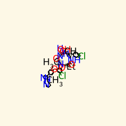 CC[C@@H]1CC(=O)N(Cc2ccc(Cl)cc2Oc2ccc(-c3cnc(CN4CCCC4)n3C)cc2)[C@@H](C)C(=O)N[C@@H](CO)C(=O)N(C)[C@H](Cc2ccc(Cl)cc2)CNC1=O